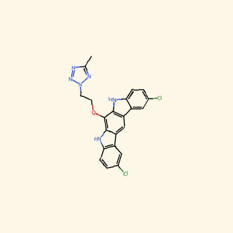 Cc1nnn(CCOc2c3[nH]c4ccc(Cl)cc4c3cc3c2[nH]c2ccc(Cl)cc23)n1